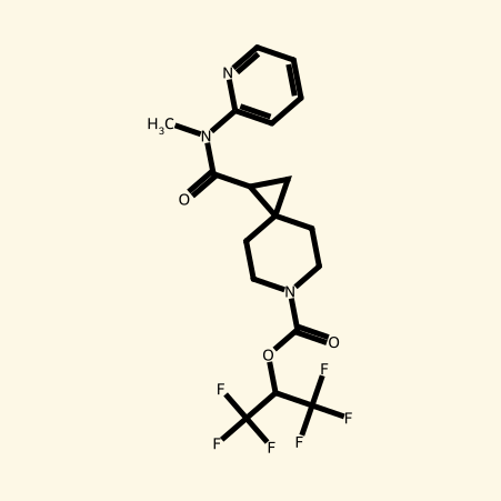 CN(C(=O)C1CC12CCN(C(=O)OC(C(F)(F)F)C(F)(F)F)CC2)c1ccccn1